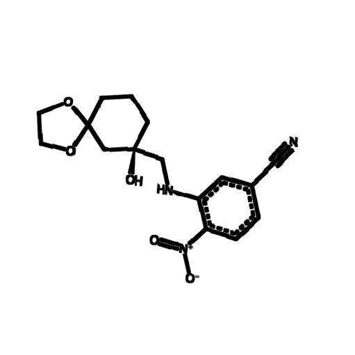 N#Cc1ccc([N+](=O)[O-])c(NC[C@@]2(O)CCCC3(C2)OCCO3)c1